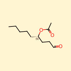 CCCCC[C@@H](CCC=O)OC(C)=O